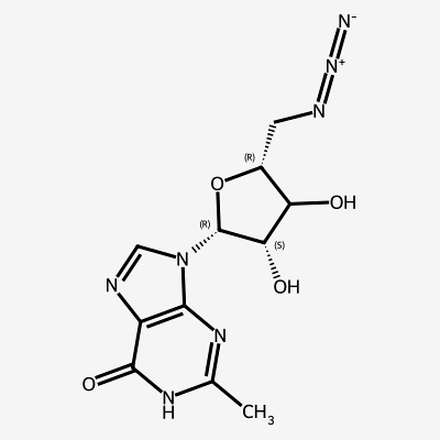 Cc1nc2c(ncn2[C@@H]2O[C@H](CN=[N+]=[N-])C(O)[C@@H]2O)c(=O)[nH]1